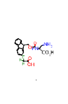 NC[C@H](NC(=O)OCC1c2ccccc2-c2ccccc21)C(=O)O.O=C(O)C(F)(F)F